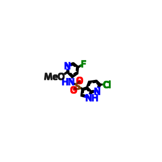 COc1ncc(F)cc1NS(=O)(=O)c1c[nH]c2nc(Cl)ccc12